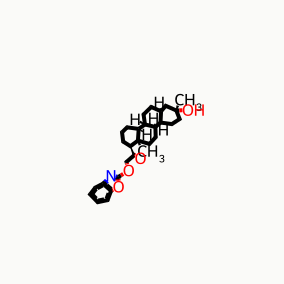 C[C@@]1(O)CC[C@H]2[C@H](CC[C@@H]3[C@@H]2CC[C@]2(C)[C@@H](C(=O)COc4nc5ccccc5o4)CCC[C@@H]32)C1